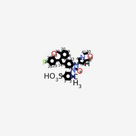 Cc1ccc(S(=O)(=O)O)cc1.O=c1[nH]c2cc(/C=C3\c4ccccc4COc4cc(F)ccc43)ccc2n1[C@@H]1C[C@@H]2COCCN2C1